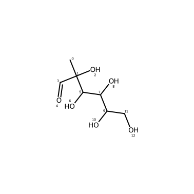 CC(O)(C=O)C(O)C(O)C(O)CO